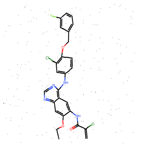 C=C(Cl)C(=O)Nc1cc2c(Nc3ccc(OCc4cccc(F)c4)c(Cl)c3)ncnc2cc1OCC